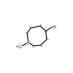 CCCC1CCCN(C)CCC1